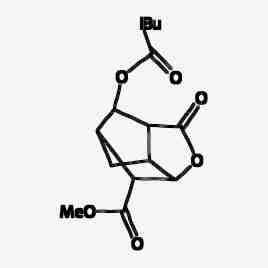 CCC(C)C(=O)OC1C2CC3C(OC(=O)C31)C2C(=O)OC